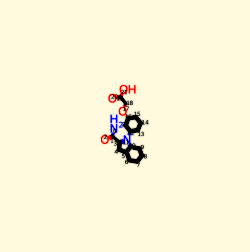 NC(=O)c1cc2ccccc2n1-c1cccc(OCC(=O)O)c1